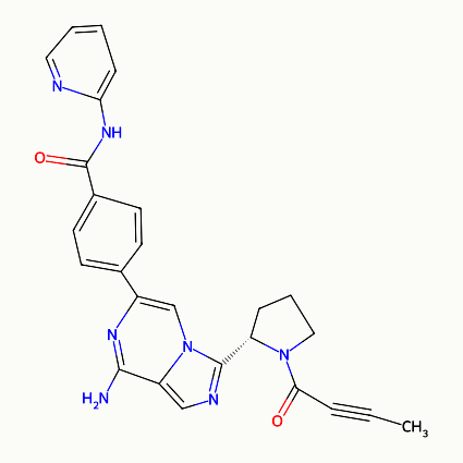 CC#CC(=O)N1CCC[C@H]1c1ncc2c(N)nc(-c3ccc(C(=O)Nc4ccccn4)cc3)cn12